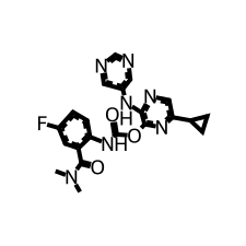 CN(C)C(=O)c1cc(F)ccc1NC(=O)Oc1nc(C2CC2)cnc1Nc1cncnc1